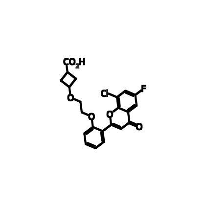 O=C(O)C1CC(OCCOc2ccccc2-c2cc(=O)c3cc(F)cc(Cl)c3o2)C1